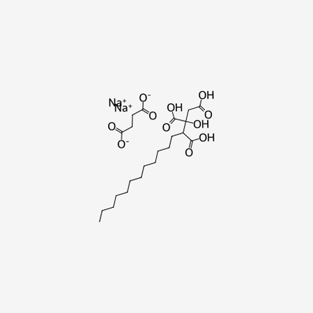 CCCCCCCCCCCCC(C(=O)O)C(O)(CC(=O)O)C(=O)O.O=C([O-])CCC(=O)[O-].[Na+].[Na+]